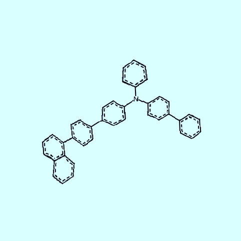 c1ccc(-c2ccc(N(c3ccccc3)c3ccc(-c4ccc(-c5cccc6ccccc56)cc4)cc3)cc2)cc1